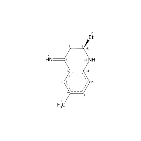 CC[C@@H]1CC(=N)c2cc(C(F)(F)F)ccc2N1